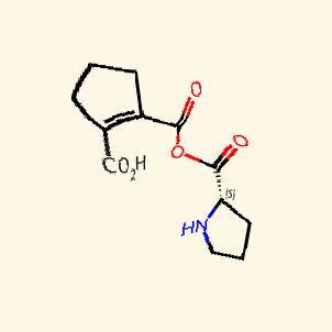 O=C(O)C1=C(C(=O)OC(=O)[C@@H]2CCCN2)CCC1